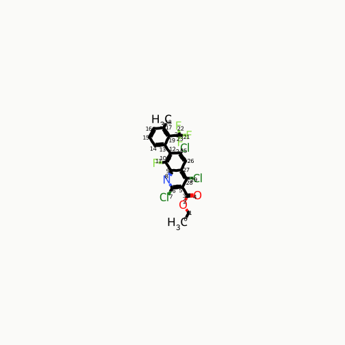 CCOC(=O)c1c(Cl)nc2c(F)c(-c3cccc(C)c3C(F)(F)F)c(Cl)cc2c1Cl